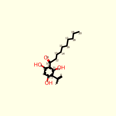 C=C(C)c1c(O)cc(O)c(C(=O)CCCCCCCCC)c1O